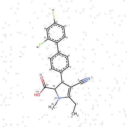 CCC1=C(C#N)C(c2ccc(-c3ccc(F)cc3F)cc2)C(C(=O)O)N1C